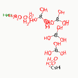 Cl.O.O.O.O.O.O.OB(O)O.OB(O)O.OB(O)O.OB(O)O.[CsH]